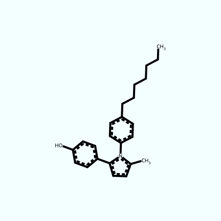 CCCCCCCc1ccc(-n2c(C)ccc2-c2ccc(O)cc2)cc1